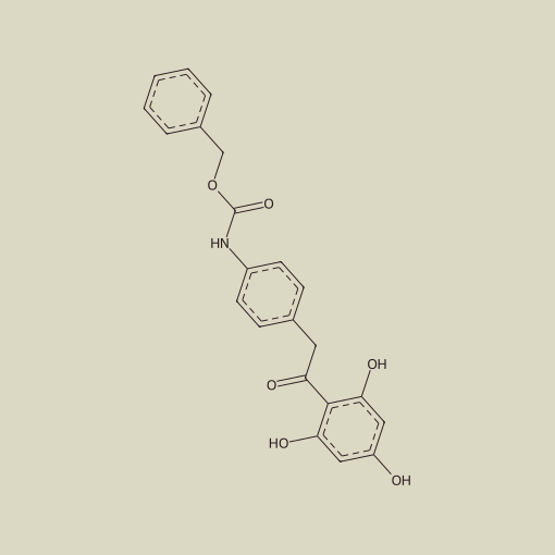 O=C(Nc1ccc(CC(=O)c2c(O)cc(O)cc2O)cc1)OCc1ccccc1